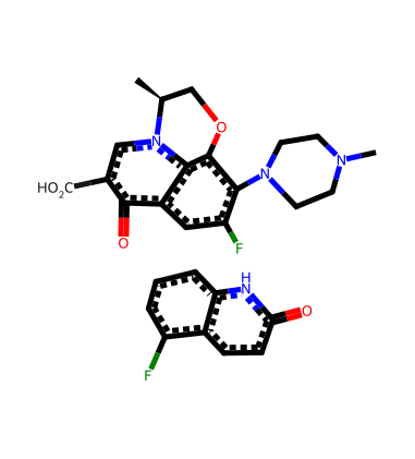 C[C@H]1COc2c(N3CCN(C)CC3)c(F)cc3c(=O)c(C(=O)O)cn1c23.O=c1ccc2c(F)cccc2[nH]1